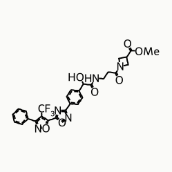 COC(=O)C1CN(C(=O)CCNC(=O)C(O)c2ccc(-c3noc(-c4onc(-c5ccccc5)c4C(F)(F)F)n3)cc2)C1